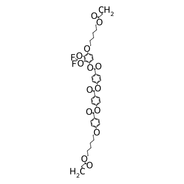 C=CC(=O)OCCCCCCOc1ccc(C(=O)Oc2ccc(C(=O)Oc3ccc(C(=O)Oc4ccc(OCCCCCCOC(=O)C=C)c5c4OC(F)(F)O5)cc3)cc2)cc1